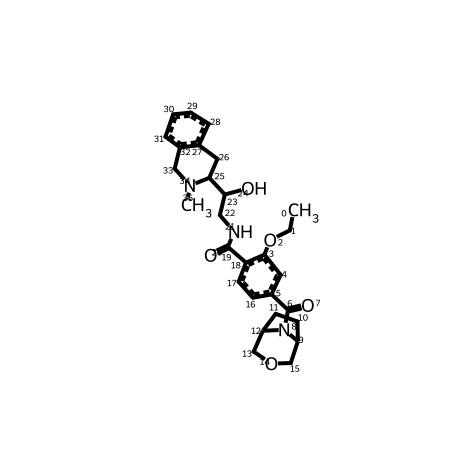 CCOc1cc(C(=O)N2C3CCC2COC3)ccc1C(=O)NCC(O)C1Cc2ccccc2CN1C